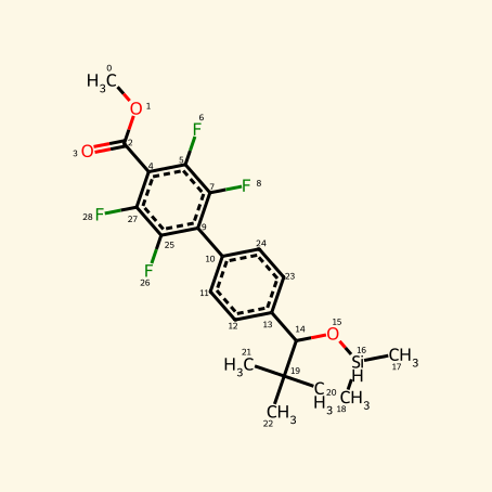 COC(=O)c1c(F)c(F)c(-c2ccc(C(O[SiH](C)C)C(C)(C)C)cc2)c(F)c1F